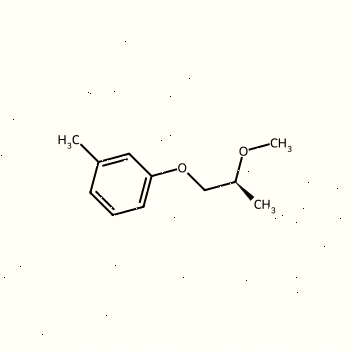 CO[C@@H](C)COc1cccc(C)c1